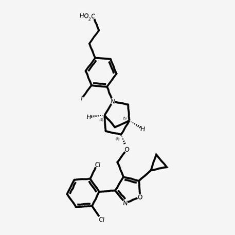 O=C(O)CCc1ccc(N2C[C@@H]3C[C@H]2C[C@H]3OCc2c(-c3c(Cl)cccc3Cl)noc2C2CC2)c(I)c1